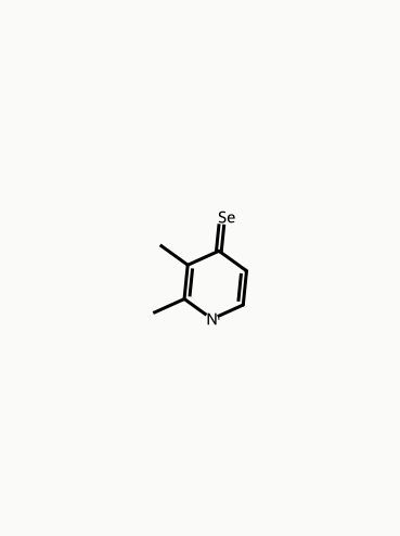 CC1=C(C)C(=[Se])C=C[N]1